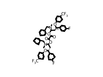 CN(Cc1ccccc1)C(C[C@@H](Oc1ccc(C(F)(F)F)cc1)c1ccc(F)cc1)OC(=O)C(=O)OC(C[C@@H](Oc1ccc(C(F)(F)F)cc1)c1ccc(F)cc1)N(C)Cc1ccccc1